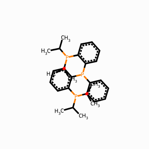 CC(C)P(c1ccccc1P(c1ccccc1)c1ccccc1P(C(C)C)C(C)C)C(C)C